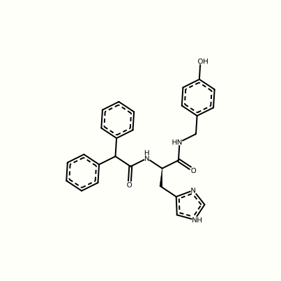 O=C(N[C@H](Cc1c[nH]cn1)C(=O)NCc1ccc(O)cc1)C(c1ccccc1)c1ccccc1